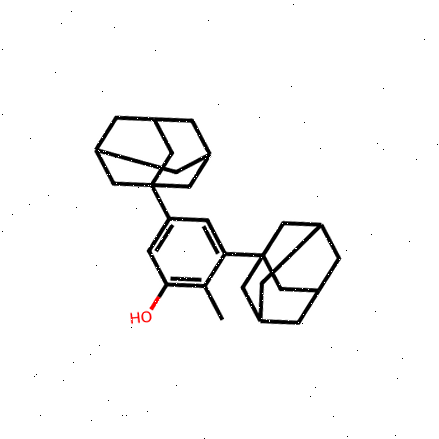 Cc1c(O)cc(C23CC4CC(CC(C4)C2)C3)cc1C12CC3CC(CC(C3)C1)C2